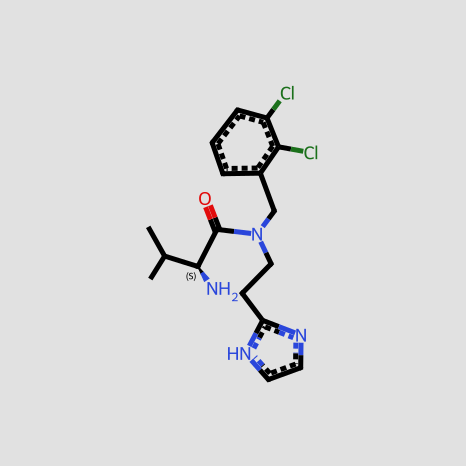 CC(C)[C@H](N)C(=O)N(CCc1ncc[nH]1)Cc1cccc(Cl)c1Cl